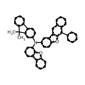 CC1(C)c2ccccc2-c2ccc(N(c3ccc4oc5c(-c6ccccc6)c6ccccc6cc5c4c3)c3cccc4c3oc3ccccc34)cc21